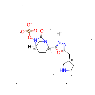 O=C1N2C[C@@H](CC[C@H]2c2nnc(C[C@H]3CCNC3)o2)N1OS(=O)(=O)[O-].[H+]